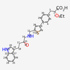 CCOC(Cc1ccc(-c2csc(CNCC(=O)CCc3c[nH]c4ccccc34)c2)cc1)C(=O)O